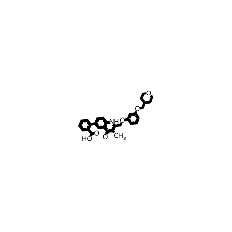 Cc1c(COc2cccc(OCC3CCOCC3)c2)[nH]c2ccc(-c3ccccc3C(=O)O)cc2c1=O